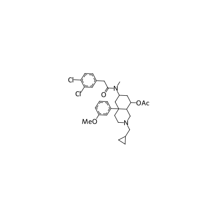 COc1cccc(C23CCN(CC4CC4)CC2C(OC(C)=O)CC(N(C)C(=O)Cc2ccc(Cl)c(Cl)c2)C3)c1